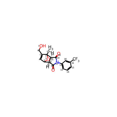 CC12OC(C=C1CO)[C@@H]1C(=O)N(c3cccc(C(F)(F)F)c3)C(=O)[C@@H]12